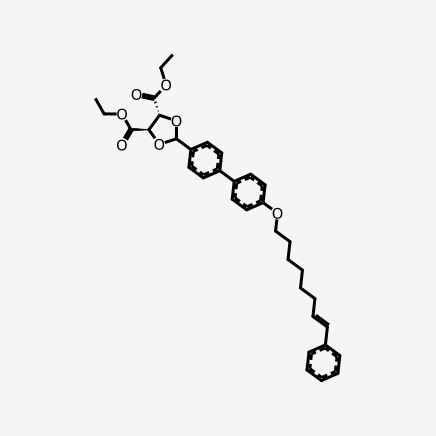 CCOC(=O)[C@@H]1OC(c2ccc(-c3ccc(OCCCCCC/C=C/c4ccccc4)cc3)cc2)O[C@H]1C(=O)OCC